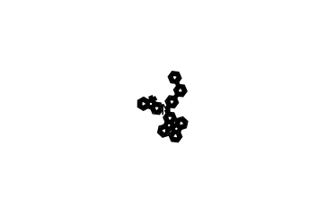 CC1(C)c2ccccc2-c2ccc(N(c3ccc(-c4cccc(-c5ccccc5)c4)cc3)c3ccc4c(c3)-c3ccccc3C43c4ccccc4-c4ccccc43)cc21